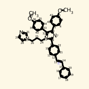 COc1ccc(-c2nc(-c3ccc(/C=C/c4ccccc4)cc3)n(CCCn3ccnc3)c2-c2ccc(OC)cc2)cc1